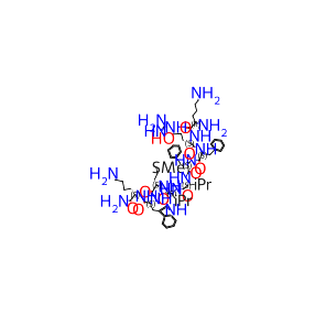 CSCC[C@H](NC(=O)[C@@H](NC(=O)[C@@H](NC(=O)[C@H](Cc1ccc(O)cc1)NC(=O)[C@H](Cc1ccccc1)NC(=O)[C@H](CCCNC(=N)N)NC(=O)[C@H](N)CCCCN)C(C)C)C(C)C)C(=O)N[C@@H](Cc1c[nH]c2ccccc12)C(=O)N[C@@H](CCCCN)C(N)=O